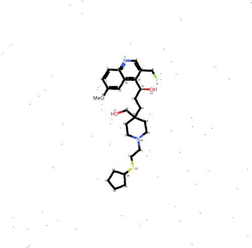 COc1ccc2ncc(CF)c([C@@H](O)CCC3(CO)CCN(CCSC4CCCC4)CC3)c2c1